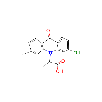 Cc1ccc2c(=O)c3ccc(Cl)cc3n(C(C)C(=O)O)c2c1